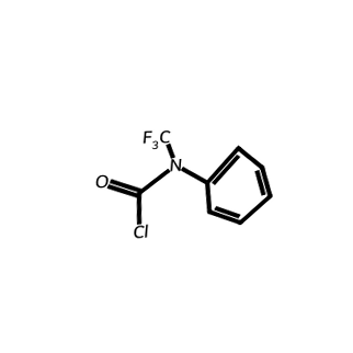 O=C(Cl)N(c1ccccc1)C(F)(F)F